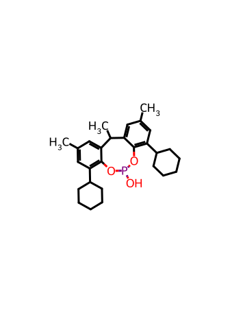 Cc1cc(C2CCCCC2)c2c(c1)C(C)c1cc(C)cc(C3CCCCC3)c1OP(O)O2